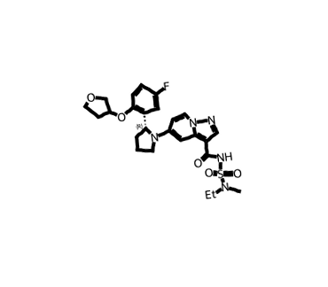 CCN(C)S(=O)(=O)NC(=O)c1cnn2ccc(N3CCC[C@@H]3c3cc(F)ccc3OC3CCOC3)cc12